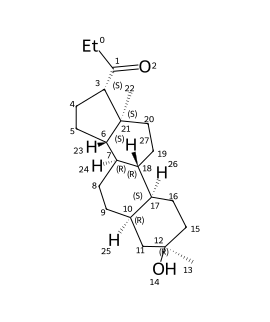 CCC(=O)[C@H]1CC[C@H]2[C@@H]3CC[C@@H]4C[C@](C)(O)CC[C@@H]4[C@H]3CC[C@]12C